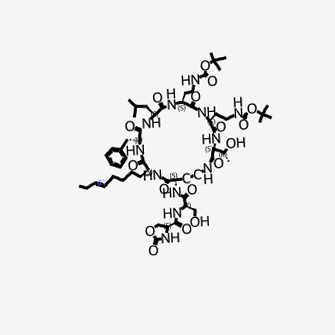 CC/C=C/CCCC[C@@H]1NC(=O)[C@@H](NC(=O)[C@@H](CO)NC(=O)[C@@H]2COC(=O)N2)CCNC(=O)[C@H]([C@@H](C)O)NC(=O)[C@H](CCNC(=O)OC(C)(C)C)NC(=O)[C@H](CCNC(=O)OC(C)(C)C)NC(=O)[C@H](CC(C)C)NC(=O)[C@@H](Cc2ccccc2)NC1=O